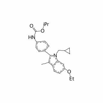 CCOc1ccc2c(C)c(-c3ccc(NC(=O)OC(C)C)cc3)n(CC3CC3)c2c1